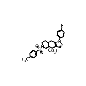 O=C(O)C12Cc3cnn(-c4ccc(F)cc4)c3CC1CCN(S(=O)(=O)c1ccc(C(F)(F)F)cc1)C2